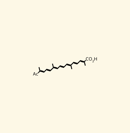 CC(=O)/C(C)=C/C=C/C(C)=C/C=C/C=C(C)/C=C/C=C(\C)C(=O)O